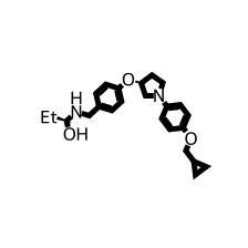 CC[C@H](O)NCc1ccc(O[C@@H]2CCN(c3ccc(OCC4CC4)cc3)C2)cc1